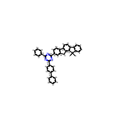 CC1(C)c2ccccc2-c2ccc3c(c21)Cc1cc(-c2nc(-c4ccccc4)nc(-c4ccc(-c5ccccc5)cc4)n2)ccc1-3